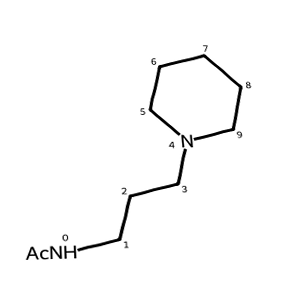 [CH2]C(=O)NCCCN1CCCCC1